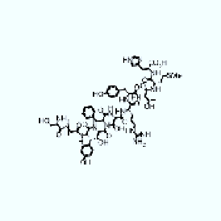 CSCC[C@H](NC(=O)[C@@H](NC(=O)[C@H](Cc1ccc(O)cc1)NC(=O)[C@H](CCCNC(=N)N)NC(=O)[C@@H](NC(=O)[C@H](Cc1ccccc1)NC(=O)[C@@H](NC(=O)[C@H](Cc1ccc(O)cc1)NC(=O)CNC(=O)[C@@H](N)CO)[C@@H](C)O)[C@@H](C)O)[C@@H](C)O)C(=O)N[C@@H](Cc1c[nH]cn1)C(=O)O